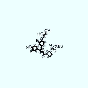 CC(C)(C)OC(=O)N[C@@H]1CCCN(C(=O)c2cc(-c3ccc(C#N)c(F)c3)c(-c3ccc(OCC(O)CO)c(F)c3)s2)C1